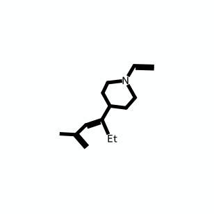 C=CN1CCC(/C(=C/C(=C)C)CC)CC1